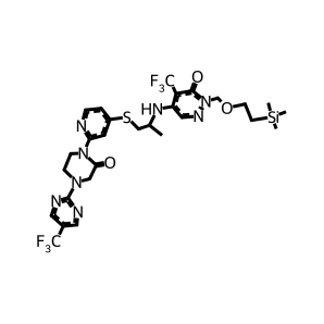 CC(CSc1ccnc(N2CCN(c3ncc(C(F)(F)F)cn3)CC2=O)c1)Nc1cnn(COCC[Si](C)(C)C)c(=O)c1C(F)(F)F